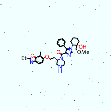 CCc1nc2ccc(OCC[C@@H]3CNCCN3C(=O)c3ncn([C@H]4CCCC[C@@]4(O)COC)c3-c3ccccc3)c(C)c2o1